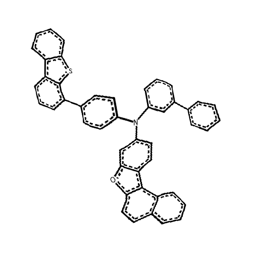 c1ccc(-c2cccc(N(c3ccc(-c4cccc5c4sc4ccccc45)cc3)c3ccc4c(c3)oc3ccc5ccccc5c34)c2)cc1